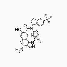 Cn1ncc2c(N)nc3cc(O)c(C(=O)N(c4nccs4)[C@@H]4CCc5cc(C(F)(F)F)ccc54)cc3c21